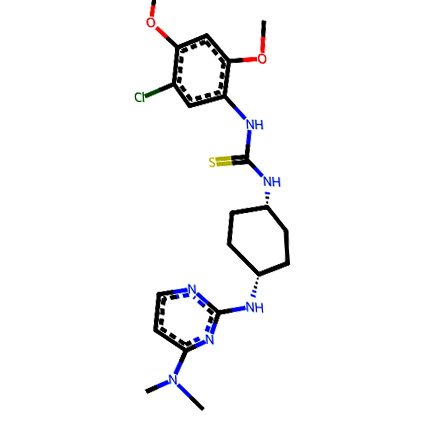 COc1cc(OC)c(NC(=S)N[C@H]2CC[C@@H](Nc3nccc(N(C)C)n3)CC2)cc1Cl